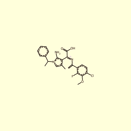 C=C(/N=C(/C(=O)O)c1c(C)cn(C(C)c2ccccc2)c1N)c1ccc(Cl)c(OC)c1F